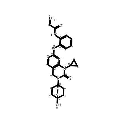 C=CC(=O)Nc1ccccc1Nc1ncc2c(n1)N(C1CC1)C(=O)N(C13CCC(O)(CC1)CC3)C2